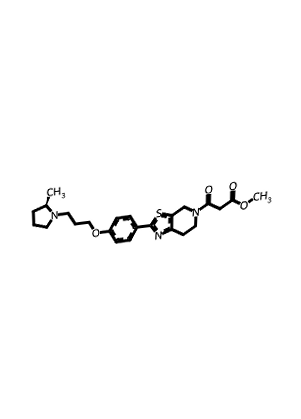 COC(=O)CC(=O)N1CCc2nc(-c3ccc(OCCCN4CCC[C@H]4C)cc3)sc2C1